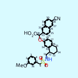 COc1cccc(CS(=O)(=O)NCC2CCCc3ccc(OC(C(=O)O)c4ccc5cc(C#N)ccc5c4)cc32)c1